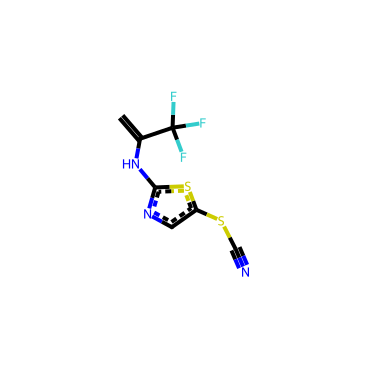 C=C(Nc1ncc(SC#N)s1)C(F)(F)F